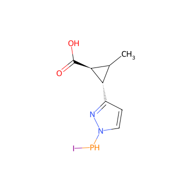 CC1[C@H](C(=O)O)[C@H]1c1ccn(PI)n1